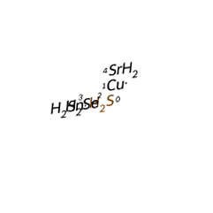 S.[Cu].[SeH2].[SnH2].[SrH2]